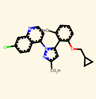 COc1cccc(OCC2CC2)c1-c1cc(C(=O)O)nn1-c1ccnc2cc(Cl)ccc12